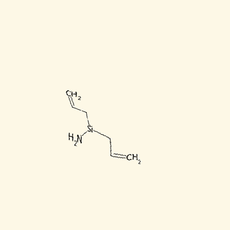 C=CC[Si](N)CC=C